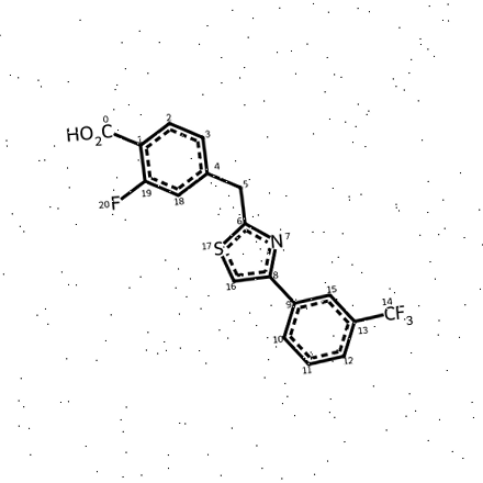 O=C(O)c1ccc(Cc2nc(-c3cccc(C(F)(F)F)c3)cs2)cc1F